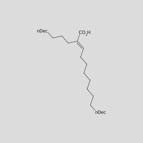 CCCCCCCCCCCCCCCCCC=C(CCCCCCCCCCCCC)C(=O)O